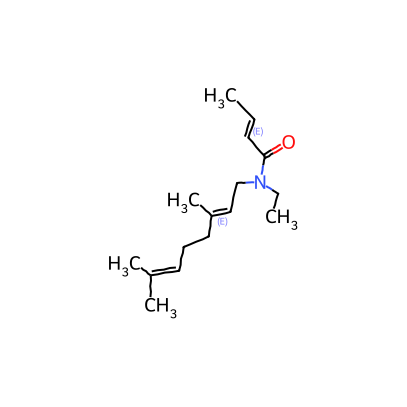 C/C=C/C(=O)N(CC)C/C=C(\C)CCC=C(C)C